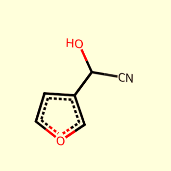 N#CC(O)c1ccoc1